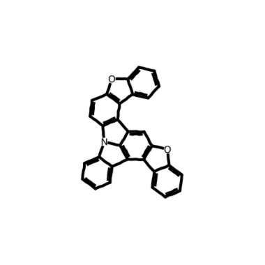 c1ccc2c(c1)oc1ccc3c(c4cc5oc6ccccc6c5c5c6ccccc6n3c45)c12